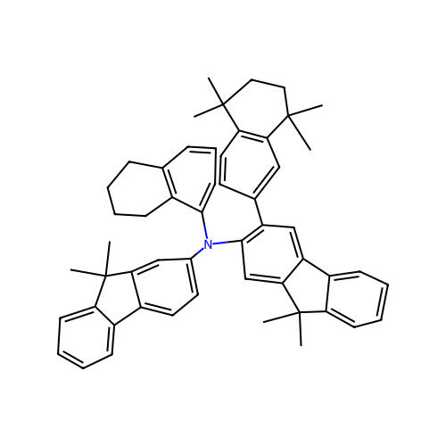 CC1(C)CCC(C)(C)c2cc(-c3cc4c(cc3N(c3ccc5c(c3)C(C)(C)c3ccccc3-5)c3cccc5c3CCCC5)C(C)(C)c3ccccc3-4)ccc21